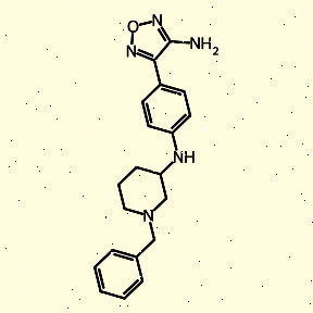 Nc1nonc1-c1ccc(NC2CCCN(Cc3ccccc3)C2)cc1